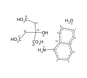 Nc1cccc2ccccc12.O.O=C(O)CC(O)(CC(=O)O)C(=O)O